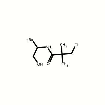 CC(C)(CCl)C(=O)NC(CO)C(C)(C)C